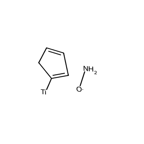 N[O].[Ti][C]1=CC=CC1